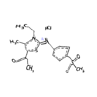 CCn1c(C)c(C(C)=O)s/c1=N\c1ccc(S(C)(=O)=O)cc1.Cl